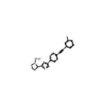 O=C(O)N1CCCC1c1nc(-c2ccc(C#Cc3cccc(F)c3)cn2)no1